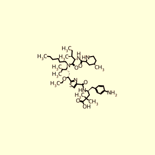 CCCCCCN(C(=O)[C@@H](NC(=O)C1C[C@H](C)CCN1)[C@@H](C)CC)[C@H](C[C@@H](OCC)c1nc(C(=O)N[C@@H](Cc2ccc(N)cc2)CC(C)(C)C(=O)O)cs1)C(C)C